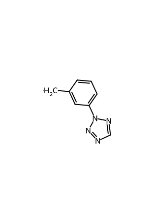 [CH2]c1cccc(-n2ncnn2)c1